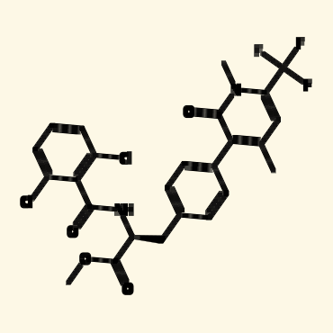 COC(=O)[C@H](Cc1ccc(-c2c(C)cc(C(F)(F)F)n(C)c2=O)cc1)NC(=O)c1c(Cl)cccc1Cl